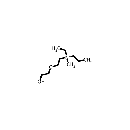 CCC[N+](C)(CC)CCOCCO